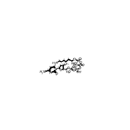 NCCCCCCOP(=O)(O)OP(=O)(O)OP(=O)(O)OP(=O)(O)OC[C@H]1O[C@@H](n2ccc(N)nc2=O)CC1O